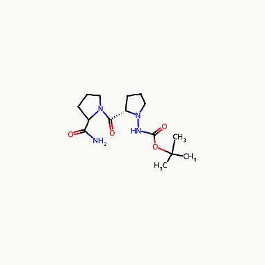 CC(C)(C)OC(=O)NN1CCC[C@H]1C(=O)N1CCCC1C(N)=O